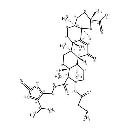 CSCC(=O)O[C@H]1CC[C@@]2(C)[C@@H](CC[C@]3(C)[C@@H]2C(=O)C=C2[C@@H]4C[C@@](C)(C(=O)O)CC[C@]4(C)CC[C@]23C)[C@]1(C)C(=O)OCc1oc(=O)oc1C(C)C